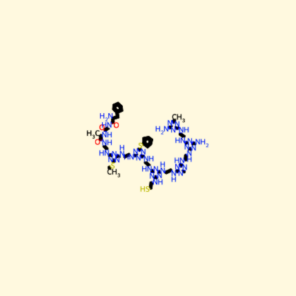 CCSc1nc(NCCNC(=O)C(C)NC(=O)CNC(=O)C(N)Cc2ccccc2)nc(NCCNc2nc(NCCNc3nc(NCCS)nc(NCCNc4ncnc(NCCNc5nc(N)nc(NCCNc6nc(C)nc(N)n6)n5)n4)n3)nc(Sc3ccccc3)n2)n1